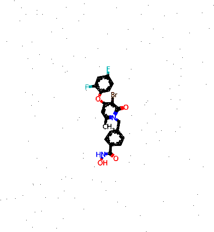 Cc1cc(Oc2ccc(F)cc2F)c(Br)c(=O)n1Cc1ccc(C(=O)NO)cc1